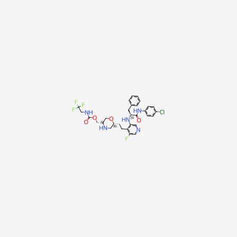 O=C(NCC(F)(F)F)OC[C@@H]1CO[C@H](CCc2c(F)cncc2N[C@@H](Cc2ccccc2)C(=O)Nc2ccc(Cl)cc2)CN1